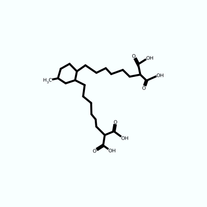 CC1CCC(CCCCCCC(C(=O)O)C(=O)O)C(CCCCCCC(C(=O)O)C(=O)O)C1